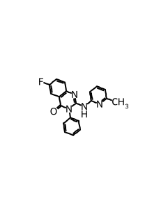 Cc1cccc(Nc2nc3ccc(F)cc3c(=O)n2-c2ccccc2)n1